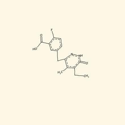 CCc1c(C)c(Cc2ccc(F)c(C(=O)O)c2)n[nH]c1=O